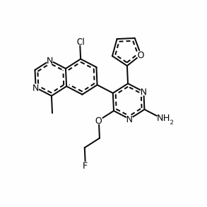 Cc1ncnc2c(Cl)cc(-c3c(OCCF)nc(N)nc3-c3ccco3)cc12